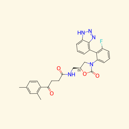 Cc1ccc(C(=O)CCC(=O)NC[C@H]2CN(c3cccc(F)c3-c3cccc4[nH]nnc34)C(=O)O2)c(C)c1